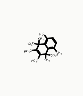 Cc1ccc(C)c2c1C(C)(C(=O)O)C(C(=O)O)=C(C(=O)O)C2(C)C(=O)O